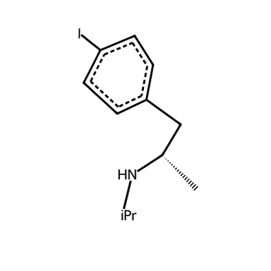 CC(C)N[C@@H](C)Cc1ccc(I)cc1